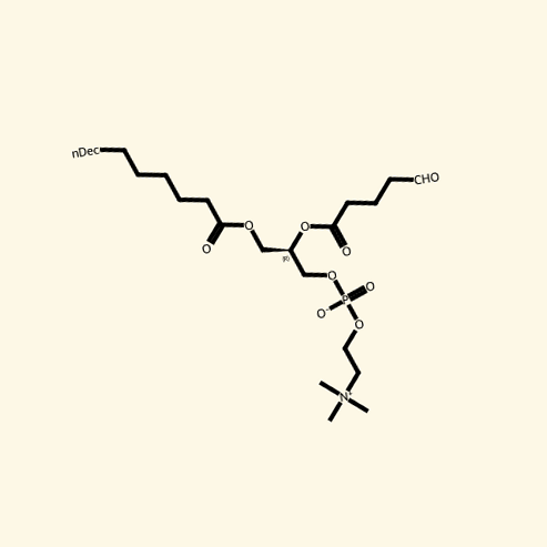 CCCCCCCCCCCCCCCC(=O)OC[C@H](COP(=O)([O-])OCC[N+](C)(C)C)OC(=O)CCCC=O